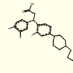 CCCC1CCC(c2ccc(C(CC(=O)O)c3ccc(F)c(F)c3)c(F)c2)CC1